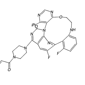 C=CC(=O)N1CCN(c2nc(=O)n3c4nc(c(F)cc24)-c2c(F)cccc2NCCOc2ncnc(C(C)C)c2-3)CC1